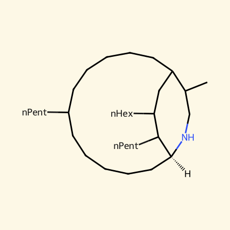 CCCCCCC1CC2CCCCCC(CCCCC)CCCCC[C@H](NCC2C)C1CCCCC